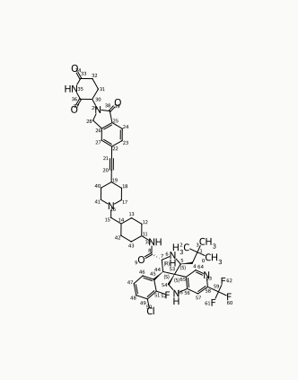 CC(C)(C)C[C@@H]1N[C@@H](C(=O)NC2CCC(CN3CCC(C#Cc4ccc5c(c4)CN(C4CCC(=O)NC4=O)C5=O)CC3)CC2)[C@H](c2cccc(Cl)c2F)[C@]12CNc1cc(C(F)(F)F)ncc12